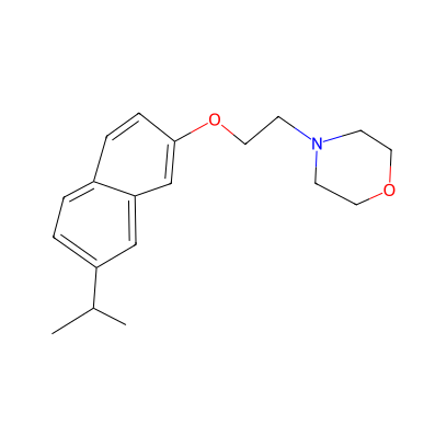 CC(C)c1ccc2ccc(OCCN3CCOCC3)cc2c1